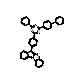 c1ccc(-c2ccc(-c3nc(-c4ccccc4)nc(-c4ccc(-c5c6ccccc6n6c5oc5ccccc56)cc4)n3)cc2)cc1